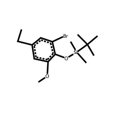 CCc1cc(Br)c(O[Si](C)(C)C(C)(C)C)c(OC)c1